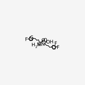 NC(CCCc1ccc(F)cc1)C(=O)NC(CCCc1ccc(F)c(F)c1)C(=O)O